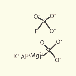 [Al+3].[K+].[Mg+2].[O-][Si]([O-])([O-])F.[O-][Si]([O-])([O-])F